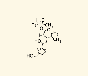 CC(C)[C@@H](C[C@@H](O)c1nc(CO)cs1)NC(=O)OC(C)(C)C